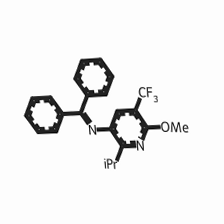 COc1nc(C(C)C)c(N=C(c2ccccc2)c2ccccc2)cc1C(F)(F)F